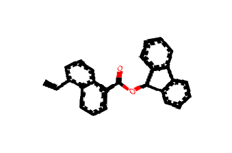 C=Cc1cccc2c(C(=O)OC3c4ccccc4-c4ccccc43)cccc12